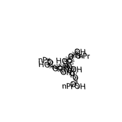 CCCOC(O)CCOc1ccc(-c2nc(-c3ccc(OCCC(O)OCCC)cc3O)nc(-c3ccc(OCCC(O)OCCC)cc3O)n2)c(O)c1